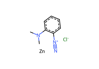 CN(C)c1ccccc1[N+]#N.[Cl-].[Zn]